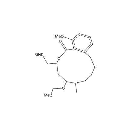 COCOC1CC(CC=O)OC(=O)c2c(cccc2OC)CCCCC1C